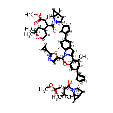 COC(=O)CC(C(=O)N1[C@@H]2C[C@@H]2C[C@H]1C1=CC=C(c2ccc3c(c2)cc2n3C(c3cnc(C4CC4)s3)Oc3cc(C4=CC=C([C@@H]5CC6CC6N5C(=O)[C@@H](CC(=O)OC)C(C)C)C4)cc(C)c3-2)C1)C1CCOC(C)(C)C1